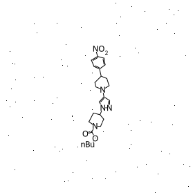 CCCCOC(=O)N1CCC(n2cc(N3CCC(c4ccc([N+](=O)[O-])cc4)CC3)cn2)CC1